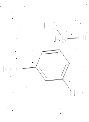 O=C(O)c1cccc([N+](=O)[O-])c1.OBO